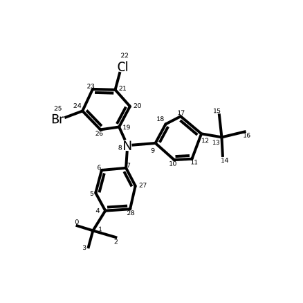 CC(C)(C)c1ccc(N(c2ccc(C(C)(C)C)cc2)c2cc(Cl)cc(Br)c2)cc1